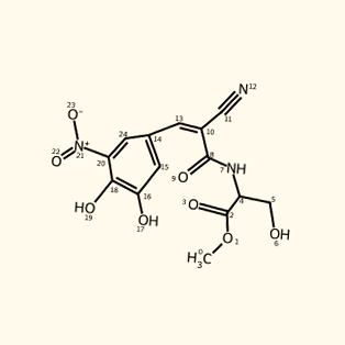 COC(=O)C(CO)NC(=O)C(C#N)=Cc1cc(O)c(O)c([N+](=O)[O-])c1